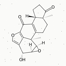 C[C@]12CCC3=C(C(=O)c4occ5c4[C@]3(C)[C@H]3O[C@H]3[C@@H]5O)[C@@H]1CCC2=O